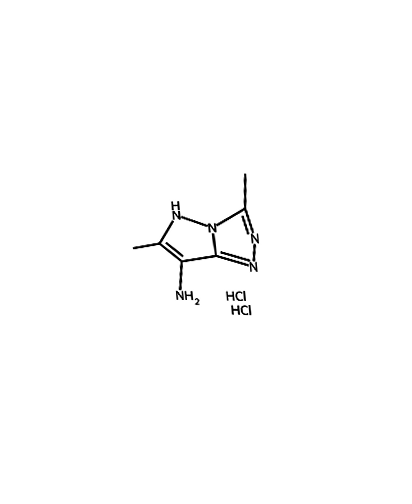 Cc1[nH]n2c(C)nnc2c1N.Cl.Cl